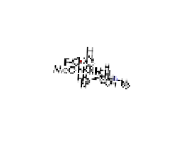 COc1c(F)cccc1Nc1c(-c2ccncc2C#CC(C)(C)NC(=O)/C=C/CN2CCCC2)[nH]c2c1C(=O)NCC2